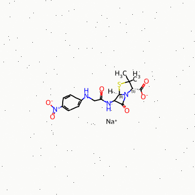 CC1(C)S[C@@H]2C(NC(=O)CNc3ccc([N+](=O)[O-])cc3)C(=O)N2[C@H]1C(=O)[O-].[Na+]